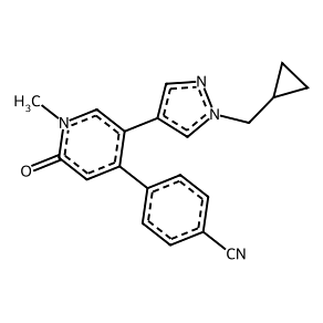 Cn1cc(-c2cnn(CC3CC3)c2)c(-c2ccc(C#N)cc2)cc1=O